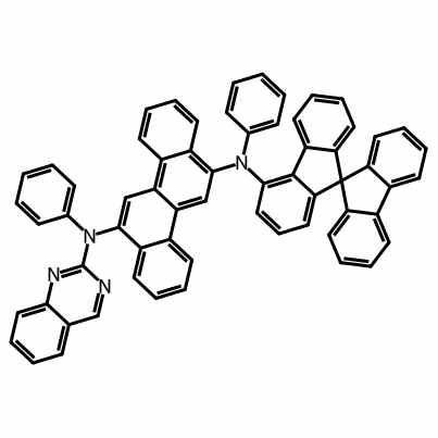 c1ccc(N(c2ncc3ccccc3n2)c2cc3c4ccccc4c(N(c4ccccc4)c4cccc5c4-c4ccccc4C54c5ccccc5-c5ccccc54)cc3c3ccccc23)cc1